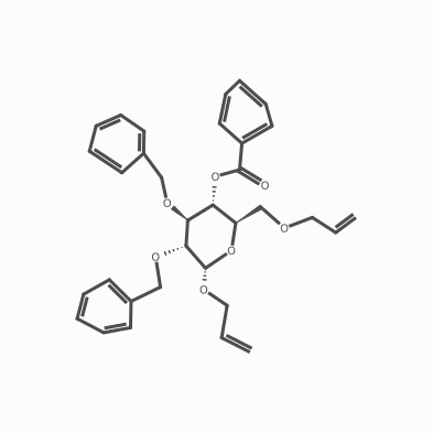 C=CCOC[C@H]1O[C@H](OCC=C)[C@H](OCc2ccccc2)[C@@H](OCc2ccccc2)[C@@H]1OC(=O)c1ccccc1